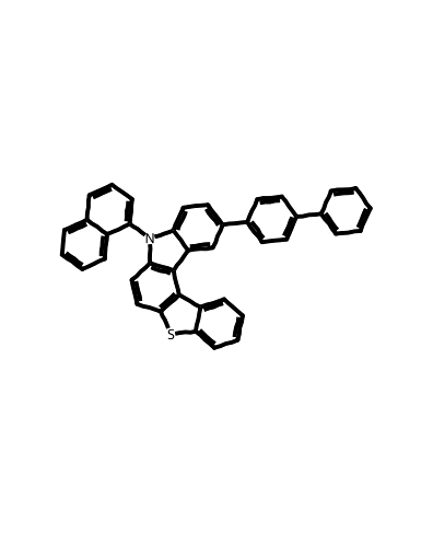 c1ccc(-c2ccc(-c3ccc4c(c3)c3c5c(ccc3n4-c3cccc4ccccc34)sc3ccccc35)cc2)cc1